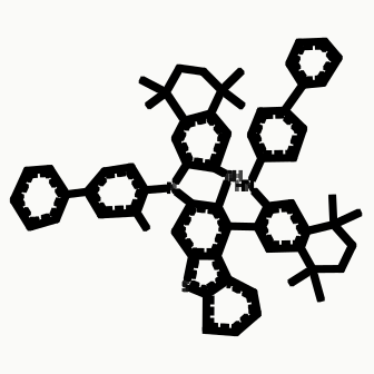 Cc1cc(-c2ccccc2)ccc1N1c2cc3c(cc2Bc2c1cc1sc4ccccc4c1c2-c1cc2c(cc1Nc1ccc(-c4ccccc4)cc1)C(C)(C)CCC2(C)C)C(C)(C)CCC3(C)C